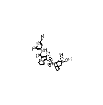 N#Cc1cc(NC(=O)c2c(Cl)c(S(=O)(=O)N3C4CCC45C[C@@](O)(CO)CC35)c3n2CC=C3)cc(F)n1